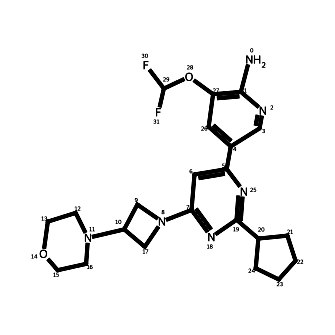 Nc1ncc(-c2cc(N3CC(N4CCOCC4)C3)nc(C3CCCC3)n2)cc1OC(F)F